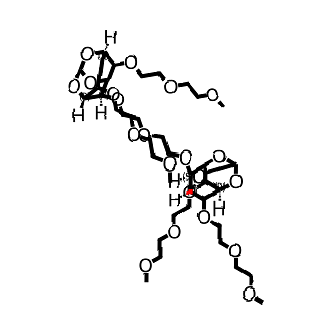 COCCOCCOC1C2OC3O[C@H]1C(OCCOCCOC)[C@H](O3)[C@H]2OCCOCCO[C@@H]1C2OC3O[C@@H](C2OCCOCCOC)C(OCCOCCOC)[C@H]1O3